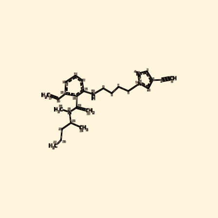 C#Cc1cnn(CCCCNc2cccc(C=C)c2C(=C)N(C)C(C)CCC)c1